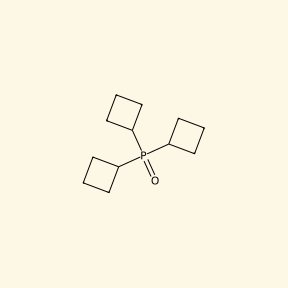 O=P(C1CCC1)(C1CCC1)C1CCC1